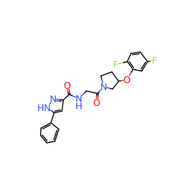 O=C(NCC(=O)N1CCC(Oc2cc(F)ccc2F)C1)c1cc(-c2ccccc2)[nH]n1